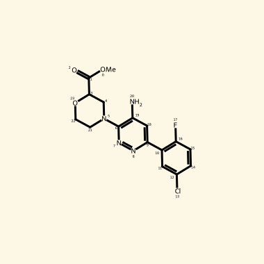 COC(=O)C1CN(c2nnc(-c3cc(Cl)ccc3F)cc2N)CCO1